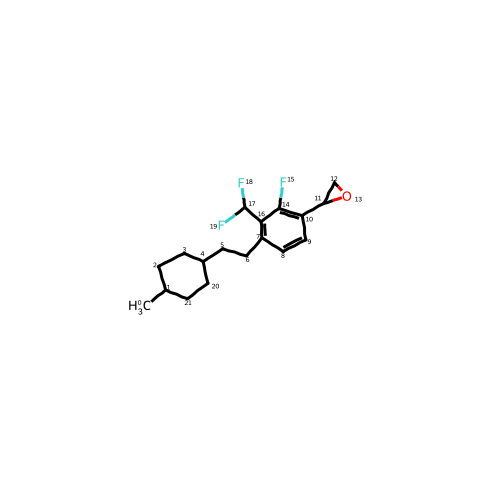 CC1CCC(CCc2ccc(C3CO3)c(F)c2C(F)F)CC1